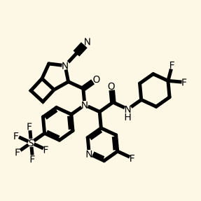 N#CN1CC2CCC2C1C(=O)N(c1ccc(S(F)(F)(F)(F)F)cc1)C(C(=O)NC1CCC(F)(F)CC1)c1cncc(F)c1